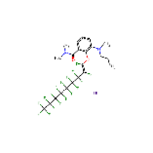 CCCN(C)c1cccc(C(=O)N(C)C)c1OC(F)=C(F)C(F)(F)C(F)(F)C(F)(F)C(F)(F)C(F)(F)C(F)(F)C(F)(F)F.I